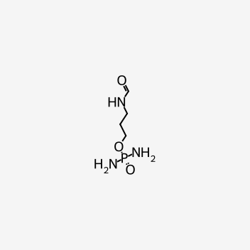 NP(N)(=O)OCCCNC=O